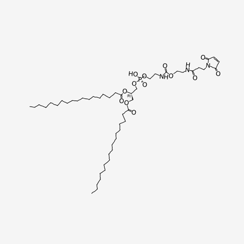 CCCCCCCCCCCCCCCCCC(=O)OC[C@H](COP(=O)(O)OCCNC(=O)OCCNC(=O)CCN1C(=O)C=CC1=O)OC(=O)CCCCCCCCCCCCCCCCC